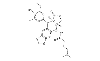 COc1cc(C2c3cc4c(cc3[C@@H](NC(=O)CCCN(C)C)[C@H]3COC(=O)[C@H]23)OCO4)cc(C)c1O